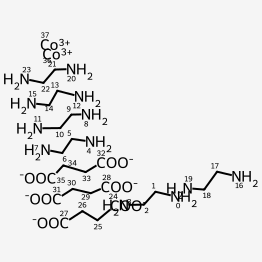 NCCN.NCCN.NCCN.NCCN.NCCN.NCCN.O=C([O-])CCC(=O)[O-].O=C([O-])CCC(=O)[O-].O=C([O-])CCC(=O)[O-].[Co+3].[Co+3]